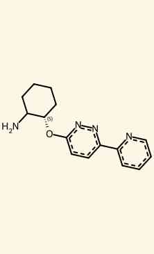 NC1CCCC[C@@H]1Oc1ccc(-c2ccccn2)nn1